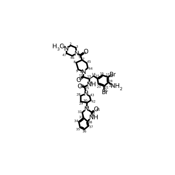 CN1CCN(C(=O)C2CCN(C(=O)[C@@H](Cc3cc(Br)c(N)c(Br)c3)NC(=O)N3CCC(N4Cc5ccccc5NC4=O)CC3)CC2)CC1